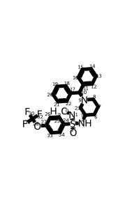 CN=S(=O)(NC1CCCN(C(c2ccccc2)c2ccccc2)C1)c1ccc(OC(F)(F)F)cc1